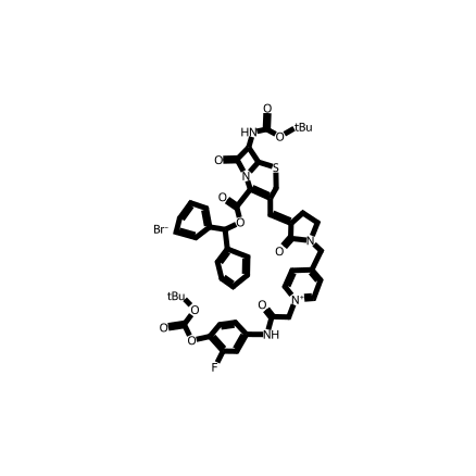 CC(C)(C)OC(=O)NC1C(=O)N2C(C(=O)OC(c3ccccc3)c3ccccc3)=C(C=C3CCN(Cc4cc[n+](CC(=O)Nc5ccc(OC(=O)OC(C)(C)C)c(F)c5)cc4)C3=O)CSC12.[Br-]